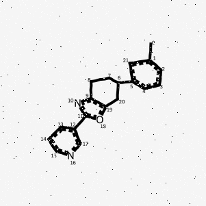 Cc1cccc(C2CCc3nc(-c4cccnc4)oc3C2)c1